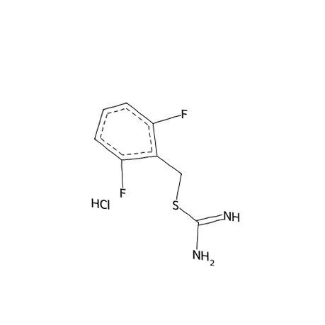 Cl.N=C(N)SCc1c(F)cccc1F